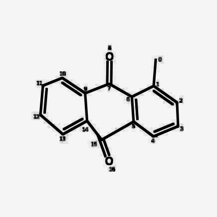 Cc1cc[c]c2c1C(=O)c1ccccc1C2=O